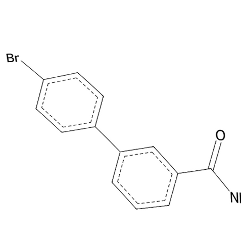 NC(=O)c1cccc(-c2ccc(Br)cc2)c1